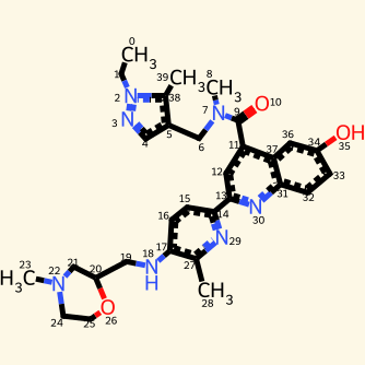 CCn1ncc(CN(C)C(=O)c2cc(-c3ccc(NCC4CN(C)CCO4)c(C)n3)nc3ccc(O)cc23)c1C